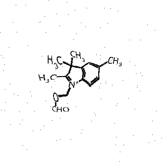 CC1=[N+](COC=O)c2ccc(C)cc2C1(C)C